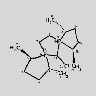 C[C@@H]1CC[C@@H](C)[PH]12CC[PH]1(C2Cl)[C@H](C)CC[C@H]1C